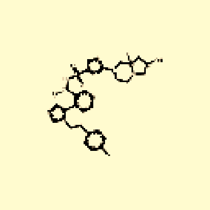 C[C@H](NS(=O)(=O)c1cnc(N2CCN3C[C@H](O)C[C@H]3C2)s1)c1ccccc1-c1cncn1CCc1ccc(F)cc1